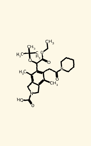 CCOC(=O)C(OC(C)(C)C)c1c(C)c2c(c(C)c1CC(=O)N1CCCCC1)CN(C(=O)O)C2